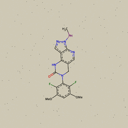 COc1cc(OC)c(F)c(N2Cc3cnc4c(cnn4PC)c3NC2=O)c1F